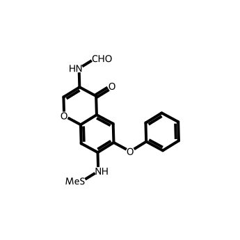 CSNc1cc2occ(NC=O)c(=O)c2cc1Oc1ccccc1